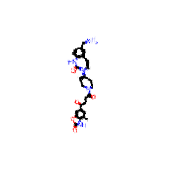 Cc1cc(C(=O)CCC(=O)N2CCC(N3CCc4cc(CN)ccc4NC3=O)CC2)cc2oc(=O)[nH]c12